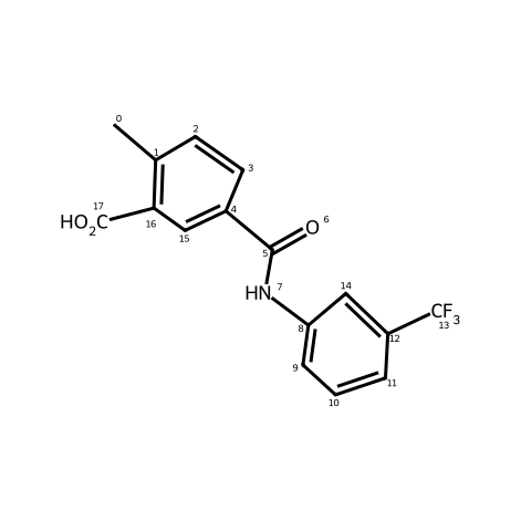 Cc1ccc(C(=O)Nc2cccc(C(F)(F)F)c2)cc1C(=O)O